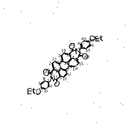 CCOc1ccc(N2C(=O)c3ccc4c5ccc6c7c(ccc(c8ccc(c3c48)C2=O)c75)C(=O)N(c2ccc(OCC)cc2)C6=O)cc1